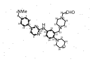 CNCc1ccc(-c2ccnc(Nc3ccc(N4CCOCC4)c(CN4CCN(CC=O)CC4)c3)n2)cc1